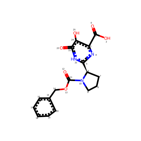 O=C(O)c1nc([C@H]2CCCN2C(=O)OCc2ccccc2)[nH]c(=O)c1O